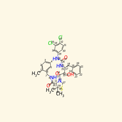 Cc1ccccc1CNC(=O)[C@H]1N(C(=O)[C@@H](O)[C@H](Cc2ccccc2)NC(=O)Nc2ccc(Cl)c(Cl)c2)CSC1(C)C